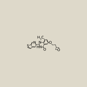 Cc1cc(OCCC2COC2)cc2c(=O)[nH]c(-c3cc4ccsc4cn3)nc12